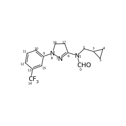 O=CN(CC1CC1)C1=NN(c2cccc(C(F)(F)F)c2)CC1